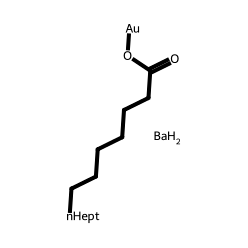 CCCCCCCCCCCCCC(=O)[O][Au].[BaH2]